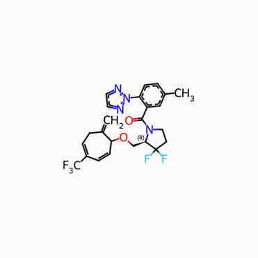 C=C1CC=C(C(F)(F)F)C=CC1OC[C@H]1N(C(=O)c2cc(C)ccc2-n2nccn2)CCC1(F)F